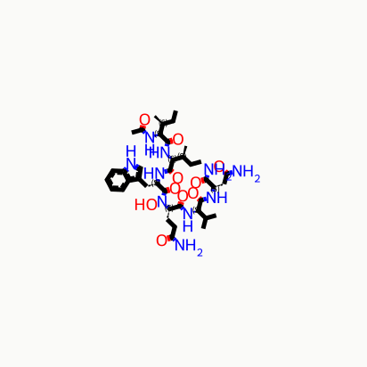 CC[C@H](C)[C@H](NC(C)=O)C(=O)N[C@H](C(=O)N[C@@H](Cc1c[nH]c2ccccc12)C(=O)N(O)[C@@H](CCC(N)=O)C(=O)N[C@H](C(=O)N[C@@H](CC(N)=O)C(N)=O)C(C)C)[C@@H](C)CC